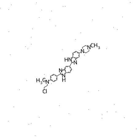 CN1CCN(c2ccc3[nH]c(-c4ccc5[nH]c(-c6ccc(N(C)CCCl)cc6)nc5c4)nc3c2)CC1